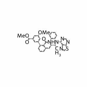 COC(=O)c1cc(OC)cc(-c2cccc3cc([C@H](C)Nc4ncnc5scnc45)n(-c4ccccc4)c(=O)c23)c1